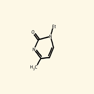 CCn1ccc(C)nc1=O